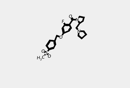 CS(=O)(=O)c1ccc(COc2ccc(C(=O)N3CCCC3CN3CCCC3)c(F)c2)cc1